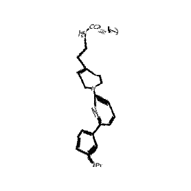 CC(C)c1cccc(-c2cccc(N3CCC(CCNC(=O)O)CC3)n2)c1